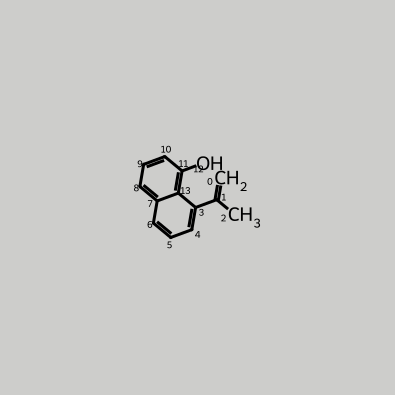 C=C(C)c1cccc2cccc(O)c12